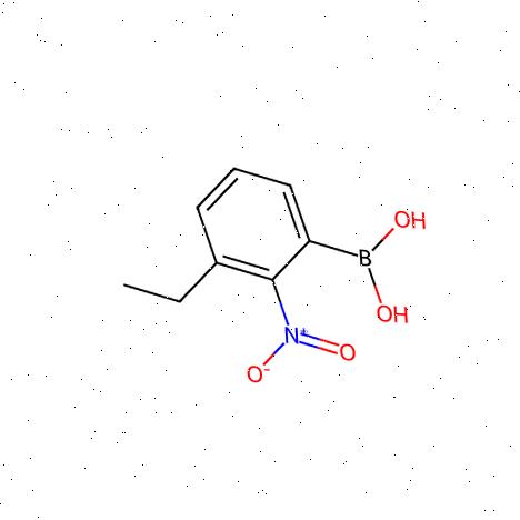 CCc1cccc(B(O)O)c1[N+](=O)[O-]